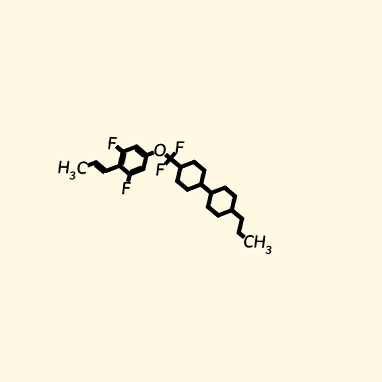 C/C=C/c1c(F)cc(OC(F)(F)C2CCC(C3CCC(CCC)CC3)CC2)cc1F